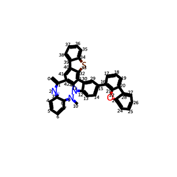 C=C1/N=C2/C=CC=CC2N(C)n2c3ccc(-c4cccc5c4oc4ccccc45)cc3c3c4sc5ccccc5c4cc1c32